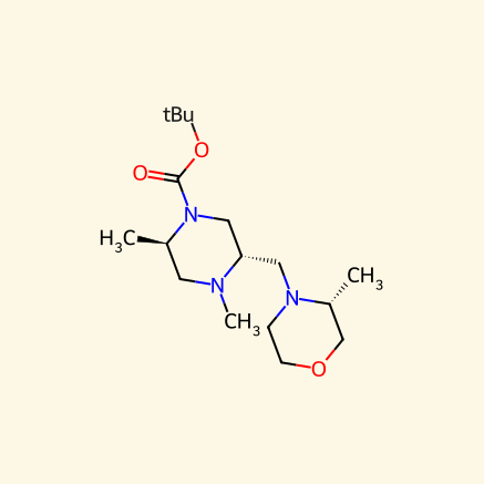 C[C@@H]1COCCN1C[C@H]1CN(C(=O)OC(C)(C)C)[C@H](C)CN1C